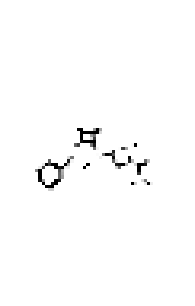 CC[C@@H](Nc1c(NC2=NN(C)C(C(=O)N(C)C)C2O)c(=O)c1=O)c1ccccc1